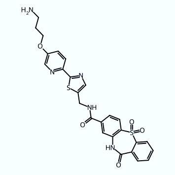 NCCCOc1ccc(-c2ncc(CNC(=O)c3ccc4c(c3)NC(=O)c3ccccc3S4(=O)=O)s2)nc1